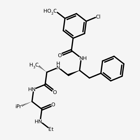 CCNC(=O)[C@@H](NC(=O)[C@H](C)NC[C@H](Cc1ccccc1)NC(=O)c1cc(Cl)cc(C(=O)O)c1)C(C)C